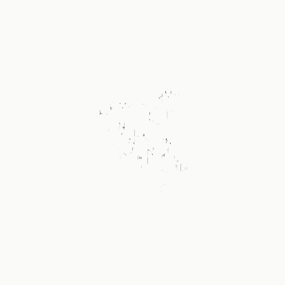 COC(=O)c1csc(NC(=O)[C@H](Cc2ccccc2)NC(=O)C(NC(=O)OC(C)(C)C)c2ccc(OC)c(F)c2)n1